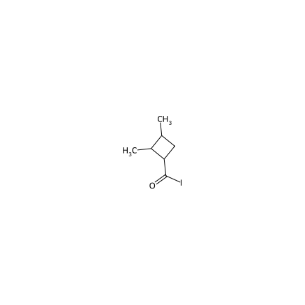 CC1CC(C(=O)I)C1C